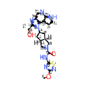 COc1nsc(NC(=O)N2C[C@H]3CC(n4c([C@@H](C)O)nc5cnc6[nH]ccc6c54)C[C@H]3C2)n1